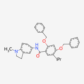 CC(C)c1cc(C(=O)Nc2ccc3c(c2)CCN3C)c(OCc2ccccc2)cc1OCc1ccccc1